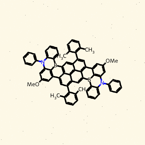 COc1cc2c3c(c1)N(c1ccccc1)c1ccccc1B3c1cc3c(-c4c(C)cccc4C)cc4c5c(cc6c(-c7c(C)cccc7C)cc-2c1c6c35)B1c2ccccc2N(c2ccccc2)c2cc(OC)cc-4c21